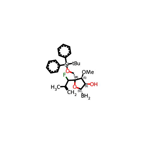 B[C@@H]1O[C@@](CO[Si](c2ccccc2)(c2ccccc2)C(C)(C)C)(C(F)C(=C)C)[C@@H](OC)[C@H]1O